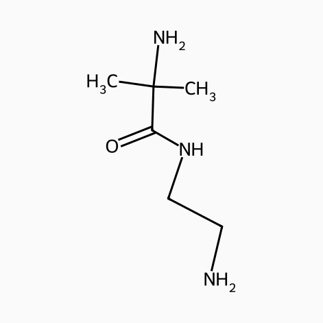 CC(C)(N)C(=O)NCCN